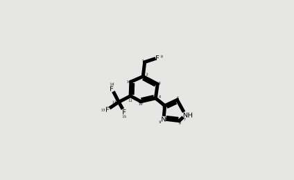 FCc1cc(-c2c[nH]cn2)cc(C(F)(F)F)c1